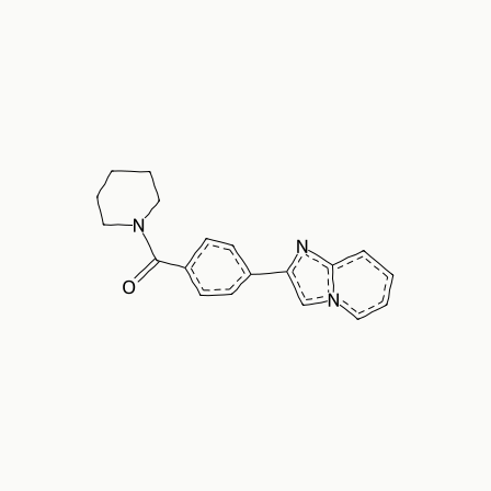 O=C(c1ccc(-c2cn3ccccc3n2)cc1)N1CCCCC1